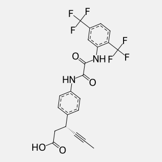 CC#C[C@H](CC(=O)O)c1ccc(NC(=O)C(=O)Nc2cc(C(F)(F)F)ccc2C(F)(F)F)cc1